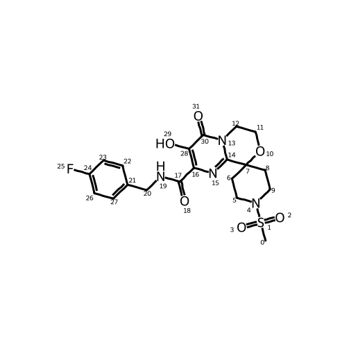 CS(=O)(=O)N1CCC2(CC1)OCCn1c2nc(C(=O)NCc2ccc(F)cc2)c(O)c1=O